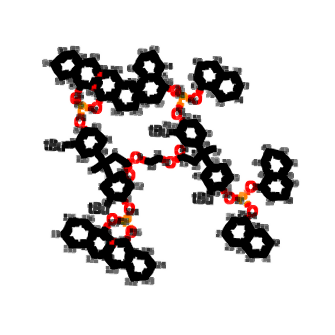 CC(C)(C)c1cc(C(C)(CC(=O)OCCOC(=O)CC(C)(c2ccc(OP(Oc3cccc4ccccc34)Oc3cccc4ccccc34)c(C(C)(C)C)c2)c2ccc(OP(Oc3cccc4ccccc34)Oc3cccc4ccccc34)c(C(C)(C)C)c2)c2ccc(OP(Oc3cccc4ccccc34)Oc3cccc4ccccc34)c(C(C)(C)C)c2)ccc1OP(Oc1cccc2ccccc12)Oc1cccc2ccccc12